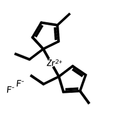 CC[C]1([Zr+2][C]2(CC)C=CC(C)=C2)C=CC(C)=C1.[F-].[F-]